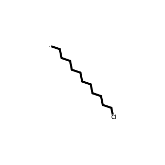 [CH2]CCCCCCCCCCCCl